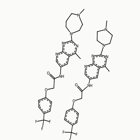 Cc1nc(N2CCCN(C)CC2)nc2ncc(NC(=O)COc3ccc(C(F)(F)F)cc3)cc12.Cc1nc(N2CCN(C)CC2)nc2ncc(NC(=O)COc3ccc(C(F)(F)F)cc3)cc12